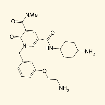 CNC(=O)c1cc(C(=O)NC2CCC(N)CC2)cn(Cc2cccc(OCCN)c2)c1=O